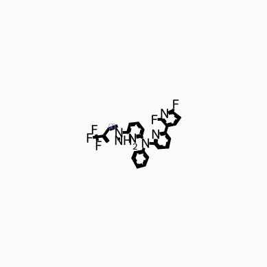 C=C(/C=C\N(N)c1cccc(N(c2ccccc2)c2cccc(-c3ccc(F)nc3F)n2)n1)C(F)(F)F